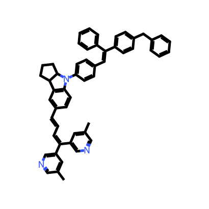 Cc1cncc(C(=C/C=C/c2ccc3c(c2)C2CCCC2N3c2ccc(/C=C(\c3ccccc3)c3ccc(Cc4ccccc4)cc3)cc2)c2cncc(C)c2)c1